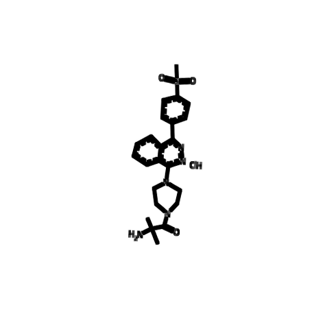 CC(C)(N)C(=O)N1CCN(c2nnc(-c3ccc(S(C)(=O)=O)cc3)c3ccccc23)CC1.Cl